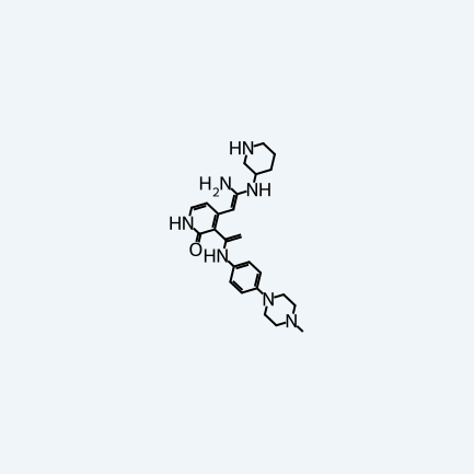 C=C(Nc1ccc(N2CCN(C)CC2)cc1)c1c(/C=C(\N)NC2CCCNC2)cc[nH]c1=O